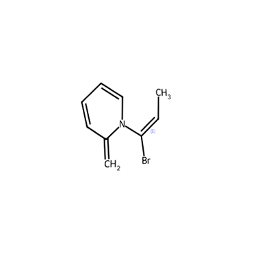 C=C1C=CC=CN1/C(Br)=C\C